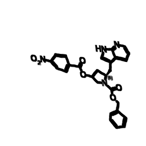 O=C(OC1C[C@@H](Cc2c[nH]c3ncccc23)N(C(=O)OCc2ccccc2)C1)c1ccc([N+](=O)[O-])cc1